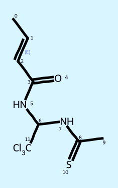 C/C=C/C(=O)NC(NC(C)=S)C(Cl)(Cl)Cl